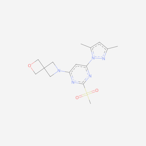 Cc1cc(C)n(-c2cc(N3CC4(COC4)C3)nc(S(C)(=O)=O)n2)n1